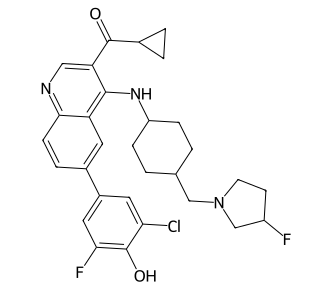 O=C(c1cnc2ccc(-c3cc(F)c(O)c(Cl)c3)cc2c1NC1CCC(CN2CCC(F)C2)CC1)C1CC1